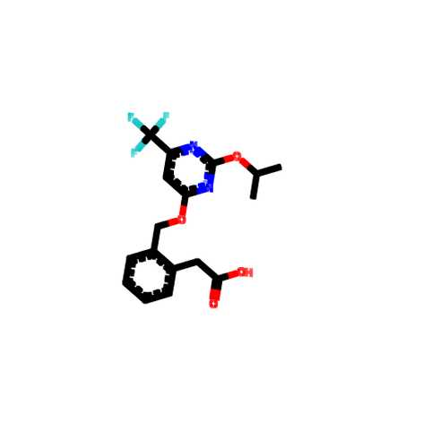 CC(C)Oc1nc(OCc2ccccc2CC(=O)O)cc(C(F)(F)F)n1